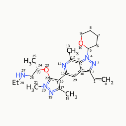 C=Cc1nn(C2CCCCO2)c2c(C)nc(-c3c(C)nn(C)c3O[C@@H](C)CNCC)cc12